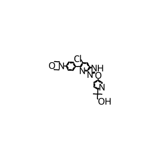 CC(C)(CO)c1ccc(Oc2nc3nc(-c4ccc(N5CCOCC5)cc4)c(Cl)cc3[nH]2)cn1